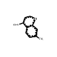 [CH2-][OH+]c1ccnc2cc(C)ccc12